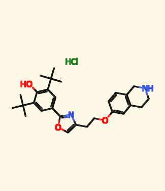 CC(C)(C)c1cc(-c2nc(CCOc3ccc4c(c3)CCNC4)co2)cc(C(C)(C)C)c1O.Cl